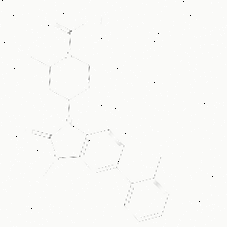 Cc1ccccc1-c1ccc2c(c1)n(C)c(=O)n2C1CCN(C(=O)O)C(C)C1